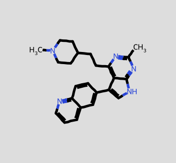 Cc1nc(CCC2CCN(C)CC2)c2c(-c3ccc4ncccc4c3)c[nH]c2n1